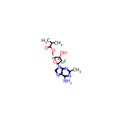 Cc1nc(N)c2ncn([C@@H]3O[C@H](COC(=O)C(C)C)[C@@H](O)[C@@H]3F)c2n1